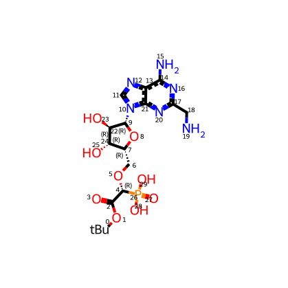 CC(C)(C)OC(=O)[C@H](OC[C@H]1O[C@@H](n2cnc3c(N)nc(CN)nc32)[C@H](O)[C@H]1O)P(=O)(O)O